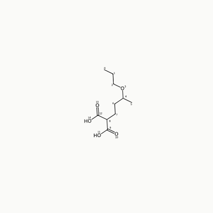 CCCOC(C)CCC(C(=O)O)C(=O)O